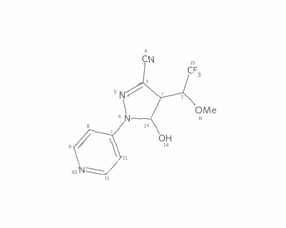 COC(C1C(C#N)=NN(c2ccncc2)C1O)C(F)(F)F